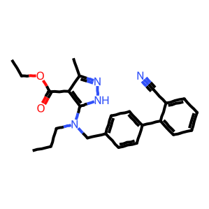 CCCN(Cc1ccc(-c2ccccc2C#N)cc1)c1[nH]nc(C)c1C(=O)OCC